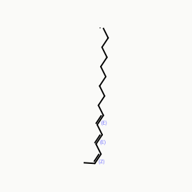 [CH2]CCCCCCCC/C=C/C=C/C=C\C